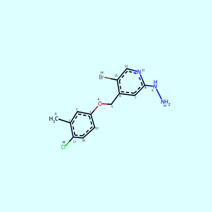 Cc1cc(OCc2cc(NN)ncc2Br)ccc1Cl